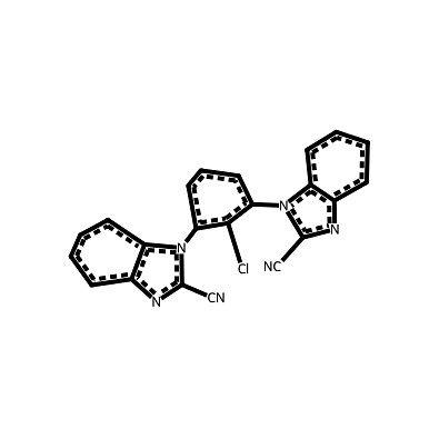 N#Cc1nc2ccccc2n1-c1cccc(-n2c(C#N)nc3ccccc32)c1Cl